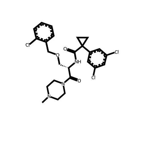 CN1CCN(C(=O)[C@H](COCc2ccccc2Cl)NC(=O)C2(c3cc(Cl)cc(Cl)c3)CC2)CC1